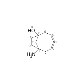 NC12CC=C=CCC(O)(CC1)C2